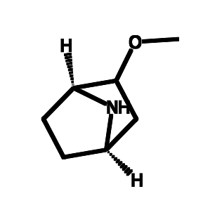 COC1C[C@H]2CC[C@@H]1N2